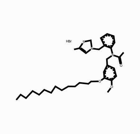 Br.CCCCCCCCCCCCCCOc1cc(CN(C(C)=O)c2ccccc2CN2C=C(C)SC2)ccc1OC